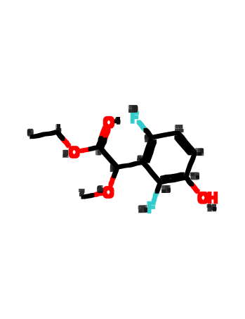 CCOC(=O)C(OC)c1c(F)ccc(O)c1F